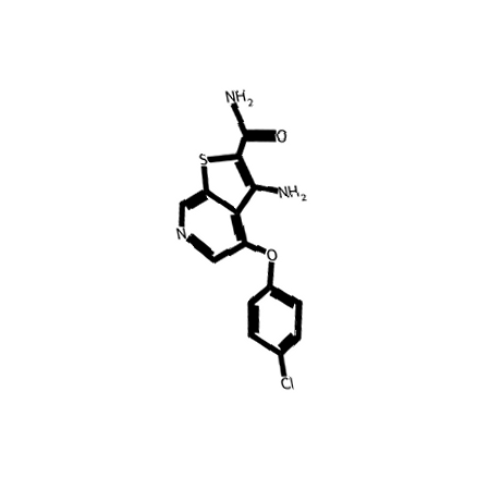 NC(=O)c1sc2cncc(Oc3ccc(Cl)cc3)c2c1N